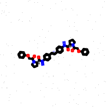 O=C(Nc1ccc(/C=C/c2ccc(NC(=O)[C@@H]3CCCN3C(=O)COc3ccccc3)cc2)cc1)[C@@H]1CCCN1C(=O)COc1ccccc1